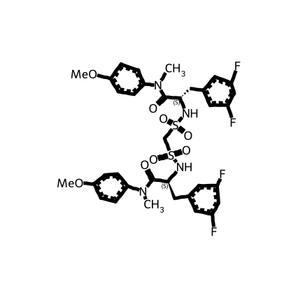 COc1ccc(N(C)C(=O)[C@H](Cc2cc(F)cc(F)c2)NS(=O)(=O)CS(=O)(=O)N[C@@H](Cc2cc(F)cc(F)c2)C(=O)N(C)c2ccc(OC)cc2)cc1